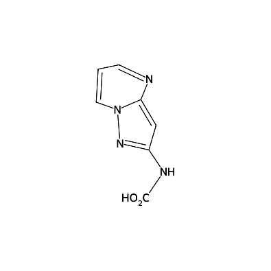 O=C(O)Nc1cc2ncccn2n1